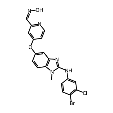 Cn1c(Nc2ccc(Br)c(Cl)c2)nc2cc(Oc3ccnc(/C=N\O)c3)ccc21